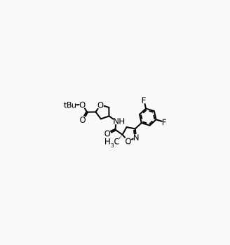 CC(C)(C)OC(=O)C1CC(NC(=O)[C@@]2(C)CC(c3cc(F)cc(F)c3)=NO2)CO1